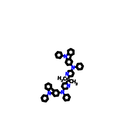 C[Si](C)(c1ccc(N(c2ccccc2)c2ccc3c(c2)c2ccccc2n3-c2ccccc2)cn1)c1ccc(N(c2ccccc2)c2ccc3c(c2)c2ccccc2n3-c2ccccc2)cn1